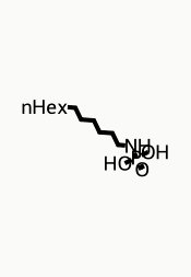 CCCCCCCCCCCCNP(=O)(O)O